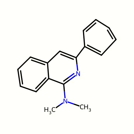 CN(C)c1nc(-c2ccccc2)cc2ccccc12